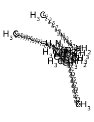 CCCCCCCCCCCCCCCCCCC(CN)C(CN(C)C)OP(=O)(OC(CN(C)C)C(CN)CCCCCCCCCCCCCCCCCC)OC(CN(C)C)C(CN)CCCCCCCCCCCCCCCCCC